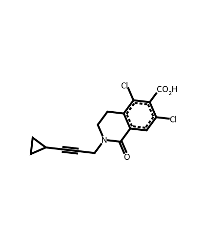 O=C(O)c1c(Cl)cc2c(c1Cl)CCN(CC#CC1CC1)C2=O